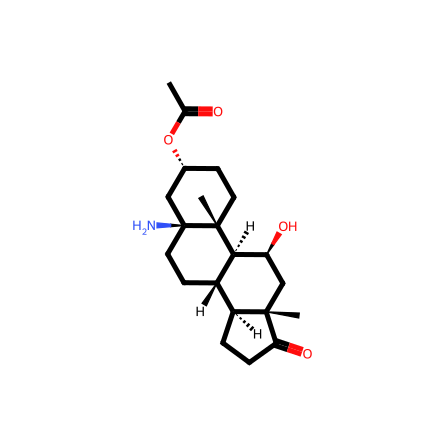 CC(=O)O[C@@H]1CC[C@]2(C)[C@@H]3[C@@H](CC[C@]2(N)C1)[C@@H]1CCC(=O)[C@@]1(C)C[C@@H]3O